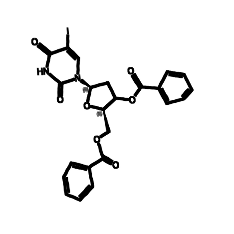 O=C(OC[C@H]1O[C@@H](n2cc(I)c(=O)[nH]c2=O)CC1OC(=O)c1ccccc1)c1ccccc1